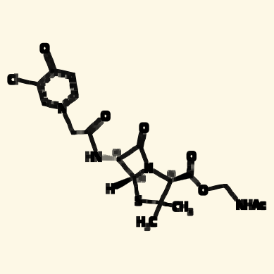 CC(=O)NCOC(=O)[C@@H]1N2C(=O)[C@@H](NC(=O)Cn3ccc(=O)c(Cl)c3)[C@H]2SC1(C)C